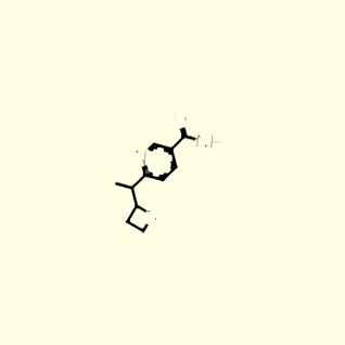 CC(c1ccc(C(N)=O)cn1)C1CCS1